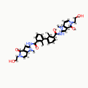 Cc1c(C(=O)Nc2cc3c(=O)n(CCO)ccc3n2C)cccc1-c1cccc(C(=O)Nc2cc3c(=O)n(CCO)ccc3n2C)c1C